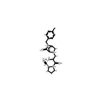 Cc1ccc(CN2C(=O)C3CC2CN3CC(N)C(=O)N2CCC[C@H]2C#N)cc1